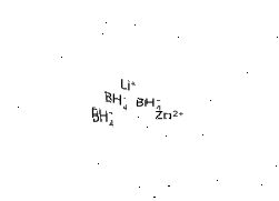 [BH4-].[BH4-].[BH4-].[Li+].[Zn+2]